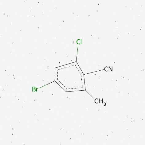 Cc1cc(Br)cc(Cl)c1C#N